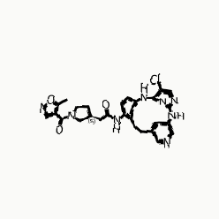 Cc1oncc1C(=O)N1CC[C@@H](CC(=O)Nc2ccc3cc2CCc2cncc(c2)Nc2ncc(Cl)c(n2)N3)C1